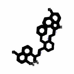 C=C(/C=C/C1=C(Sc2ccccc2)C(=C/C=c2/[nH]c3ccc(Cl)c4cccc2c34)/CCC1)c1cccc2c(Cl)ccc(C)c12